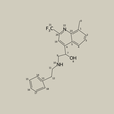 Cc1cccc2c(C(O)CNCCc3ccccc3)cc(C(F)(F)F)nc12